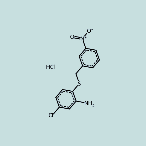 Cl.Nc1cc(Cl)ccc1SCc1cccc([N+](=O)[O-])c1